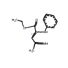 CCOC(=O)/C(=C/C(C)=N)Nc1ccccc1